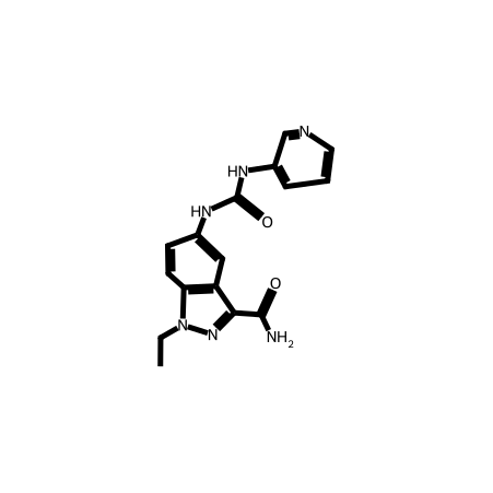 CCn1nc(C(N)=O)c2cc(NC(=O)Nc3cccnc3)ccc21